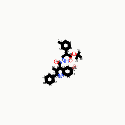 Cc1cccc(C(CNC(=O)c2c(C)c(-c3ccccc3)nc3ccc(Br)cc23)C(=O)OC(C)(C)C)c1